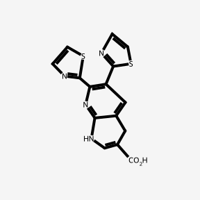 O=C(O)C1=CNc2nc(-c3nccs3)c(-c3nccs3)cc2C1